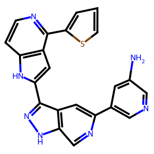 Nc1cncc(-c2cc3c(-c4cc5c(-c6cccs6)nccc5[nH]4)n[nH]c3cn2)c1